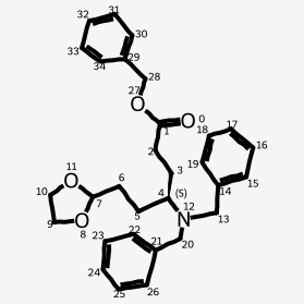 O=C(CC[C@H](CCC1OCCO1)N(Cc1ccccc1)Cc1ccccc1)OCc1ccccc1